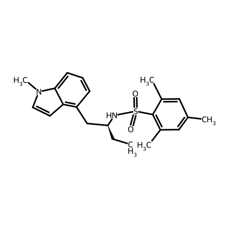 CC[C@@H](Cc1cccc2c1ccn2C)NS(=O)(=O)c1c(C)cc(C)cc1C